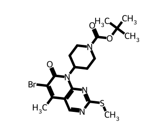 CSc1ncc2c(C)c(Br)c(=O)n(C3CCN(C(=O)OC(C)(C)C)CC3)c2n1